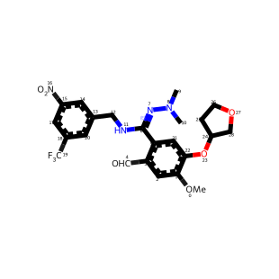 COc1cc(C=O)c(/C(=N\N(C)C)NCc2cc([N+](=O)[O-])cc(C(F)(F)F)c2)cc1OC1CCOC1